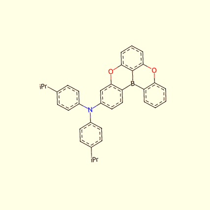 CC(C)c1ccc(N(c2ccc(C(C)C)cc2)c2ccc3c(c2)Oc2cccc4c2B3c2ccccc2O4)cc1